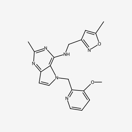 COc1cccnc1Cn1ccc2nc(C)nc(NCc3cc(C)on3)c21